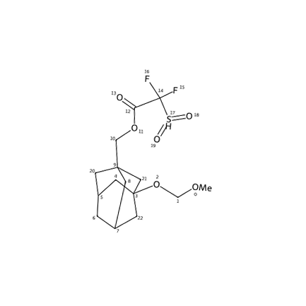 COCOC12CC3CC(CC(COC(=O)C(F)(F)[SH](=O)=O)(C3)C1)C2